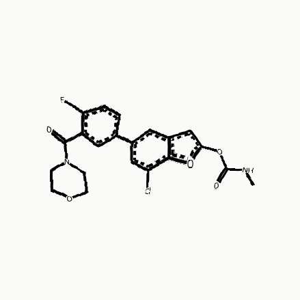 CNC(=O)Oc1cc2cc(-c3ccc(F)c(C(=O)N4CCOCC4)c3)cc(Cl)c2o1